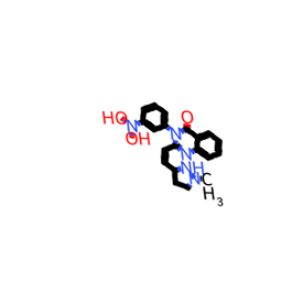 CN1CCC(/C=C\c2nc3ccccc3c(=O)n2-c2cccc(N(O)O)c2)N1